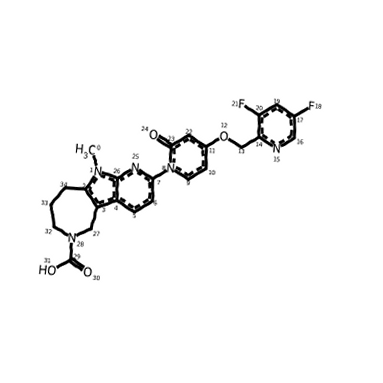 Cn1c2c(c3ccc(-n4ccc(OCc5ncc(F)cc5F)cc4=O)nc31)CN(C(=O)O)CCC2